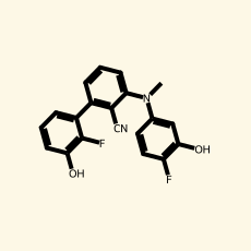 CN(c1ccc(F)c(O)c1)c1cccc(-c2cccc(O)c2F)c1C#N